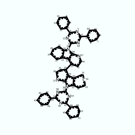 c1ccc(-c2nc(-c3ccccc3)nc(-n3c4ccccc4c4c(-c5ccnc6c5c5ccccc5n6-c5nc(-c6ccccc6)nc(-c6ccccc6)n5)ccnc43)n2)cc1